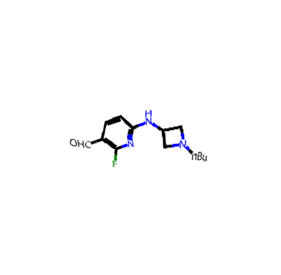 CCCCN1CC(Nc2ccc(C=O)c(F)n2)C1